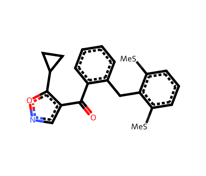 CSc1cccc(SC)c1Cc1ccccc1C(=O)c1cnoc1C1CC1